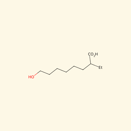 CCC(CCCCCCO)C(=O)O